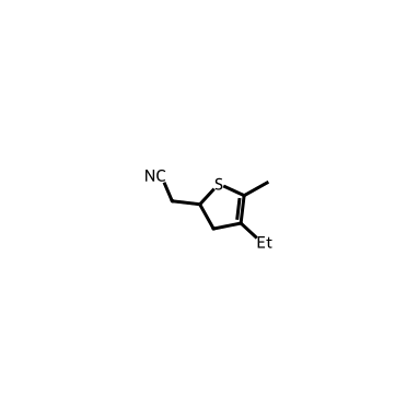 CCC1=C(C)SC(CC#N)C1